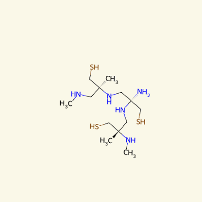 CNC[C@@](C)(CS)NC[C@@](N)(CS)NC[C@@](C)(CS)NC